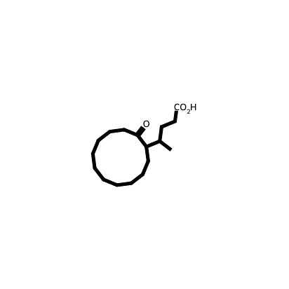 CC(CCC(=O)O)C1CCCCCCCCCCC1=O